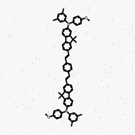 COc1ccc(N(c2cc(C)cc(C)c2)c2ccc3c(c2)C(C)(C)c2cc(/C=C/c4ccc(/C=C/c5ccc6c(c5)C(C)(C)c5cc(N(c7ccc(OC)cc7)c7cc(C)cc(C)c7)ccc5-6)cc4)ccc2-3)cc1